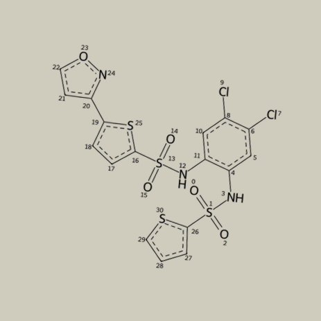 O=S(=O)(Nc1cc(Cl)c(Cl)cc1NS(=O)(=O)c1ccc(-c2ccon2)s1)c1cccs1